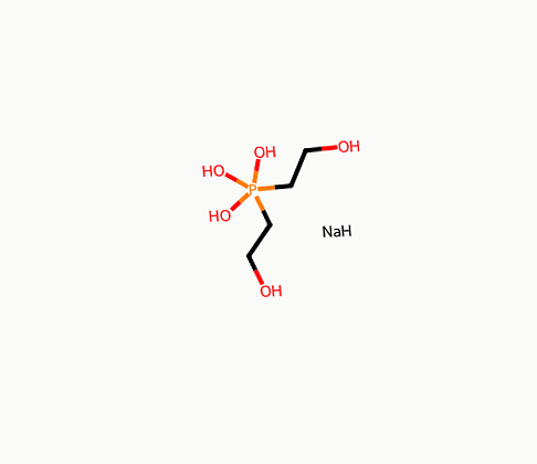 OCCP(O)(O)(O)CCO.[NaH]